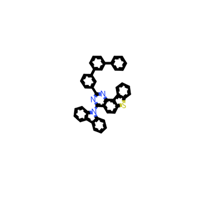 c1ccc(-c2cccc(-c3cccc(-c4nc(-n5c6ccccc6c6ccccc65)c5ccc6sc7ccccc7c6c5n4)c3)c2)cc1